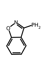 Pc1noc2ccccc12